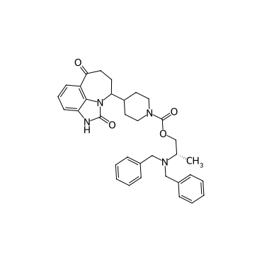 C[C@@H](COC(=O)N1CCC(C2CCC(=O)c3cccc4[nH]c(=O)n2c34)CC1)N(Cc1ccccc1)Cc1ccccc1